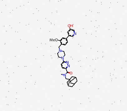 COc1cc(-c2cncc(O)c2)ccc1CN1CCN(c2ccc(C(=O)N(C)CC34CC5CC(CC(C5)C3)C4)nn2)CC1